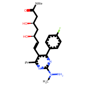 CNC(=O)C[C@H](O)C[C@H](O)/C=C/c1c(-c2ccc(F)cc2)nc(N(C)N)nc1C(C)C